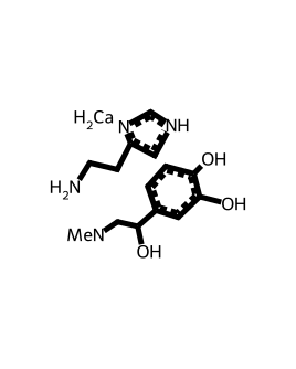 CNCC(O)c1ccc(O)c(O)c1.NCCc1c[nH]cn1.[CaH2]